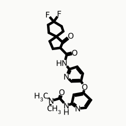 CN(C)C(=O)Nc1cc(Oc2ccc(NC(=O)C3CCC4(CCC(F)(F)CC4)C3=O)nc2)ccn1